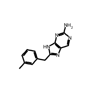 Cc1cccc(Cc2nc3cnc(N)nc3[nH]2)c1